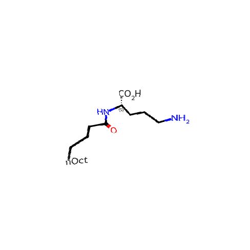 CCCCCCCCCCCC(=O)N[C@@H](CCCN)C(=O)O